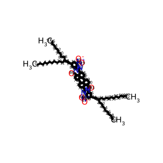 CCCCCCCCCCCCC(C#Cc1cc([N+](=O)[O-])c2nc3c4ccc5c6ccc7c(=O)n8c9cc(C#CC(CCCCCCCCCC)CCCCCCCCCCCC)cc([N+](=O)[O-])c9nc8c8ccc(c9ccc(c(=O)n3c2c1)c4c95)c6c78)CCCCCCCCCC